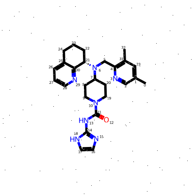 Cc1cnc(CN(C2CCN(C(=O)Nc3ncc[nH]3)CC2)[C@H]2CCCc3cccnc32)c(C)c1